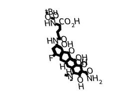 CN(C)[C@@H]1C(O)=C(C(N)=O)C(=O)[C@@]2(O)C(O)=C3C(=O)c4c(O)c(NC(=O)CC[C@H](NC(=O)OC(C)(C)C)C(=O)O)cc(F)c4C[C@H]3C[C@@H]12